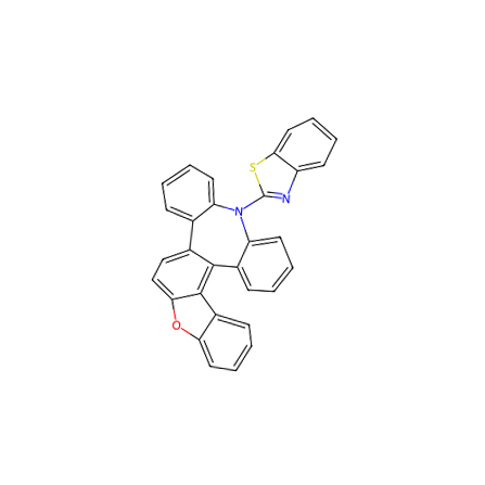 c1ccc2c(c1)-c1ccc3oc4ccccc4c3c1-c1ccccc1N2c1nc2ccccc2s1